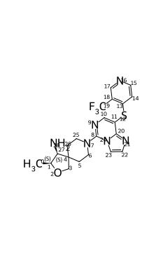 C[C@@H]1OCC2(CCN(c3ncc(Sc4ccncc4C(F)(F)F)c4nccn34)CC2)[C@@H]1N